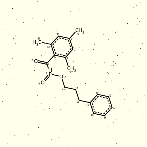 Cc1cc(C)c(C(=O)[PH](=O)OCCCc2ccccc2)c(C)c1